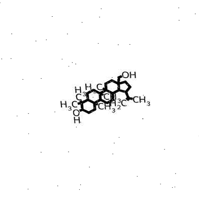 C=C(C)C1CCC2(CO)CCC3(C)C(CCC4C5(C)CCC(O)C(C)(C)C5CCC43C)C12